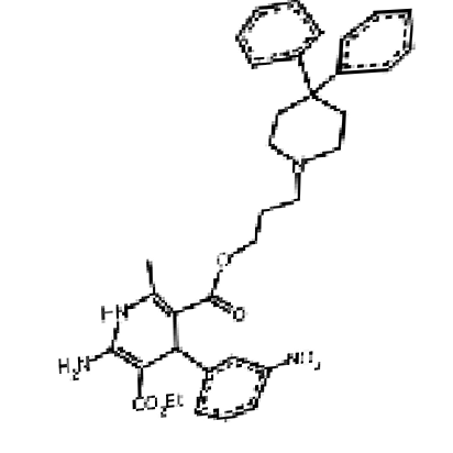 CCOC(=O)C1=C(N)NC(C)=C(C(=O)OCCCN2CCC(c3ccccc3)(c3ccccc3)CC2)C1c1cccc([N+](=O)[O-])c1